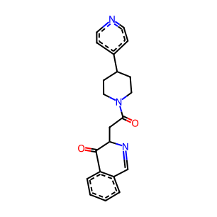 O=C1c2ccccc2C=NC1CC(=O)N1CCC(c2ccncc2)CC1